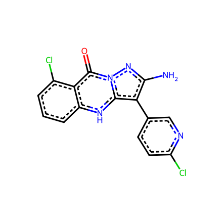 Nc1nn2c(=O)c3c(Cl)cccc3[nH]c2c1-c1ccc(Cl)nc1